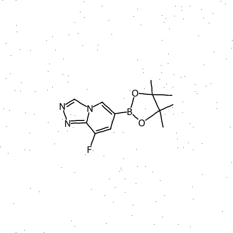 CC1(C)OB(c2cc(F)c3nncn3c2)OC1(C)C